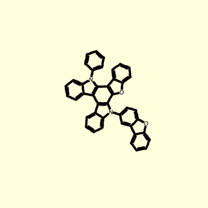 c1ccc(-n2c3ccccc3c3c4c5ccccc5n(-c5ccc6oc7ccccc7c6c5)c4c4oc5ccccc5c4c32)cc1